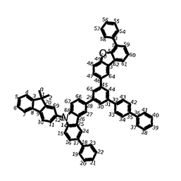 CC1(C)c2ccccc2-c2ccc(-n3c4ccc(-c5ccccc5)cc4c4cc(-c5cc(-c6ccc(-c7ccccc7)cc6)cc(-c6ccc7oc8c(-c9ccccc9)cccc8c7c6)c5)ccc43)cc21